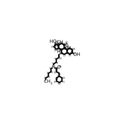 CCCCCCN(CCCCC[C@@H]1Cc2cc(O)ccc2[C@@H]2[C@@H]1[C@@H]1CC[C@H](O)[C@@]1(C)C[C@@H]2F)C(=O)CCC1CCCCC1